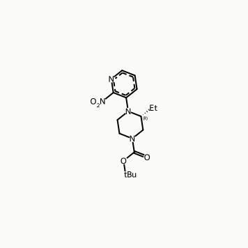 CC[C@@H]1CN(C(=O)OC(C)(C)C)CCN1c1cccnc1[N+](=O)[O-]